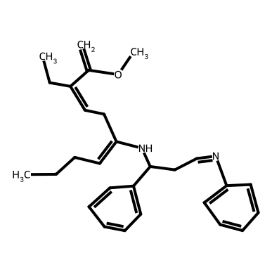 C=C(OC)/C(=C\C/C(=C\CCC)NC(C/C=N\c1ccccc1)c1ccccc1)CC